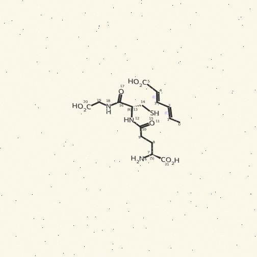 C/C=C/C=C/C(=O)O.N[C@@H](CCC(=O)N[C@@H](CS)C(=O)NCC(=O)O)C(=O)O